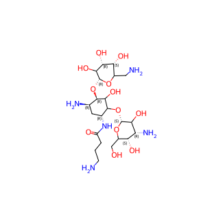 NCCCC(=O)N[C@@H]1C[C@@H](N)[C@@H](O[C@H]2OC(CN)[C@@H](O)[C@@H](O)C2O)C(O)C1O[C@H]1OC(CO)[C@@H](O)[C@@H](N)C1O